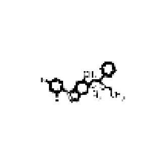 CCOC(C[C@@]1(C)Cc2cnn(-c3ccc(F)cc3F)c2C=C1C)c1ccccc1